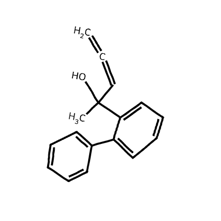 C=C=CC(C)(O)c1ccccc1-c1ccccc1